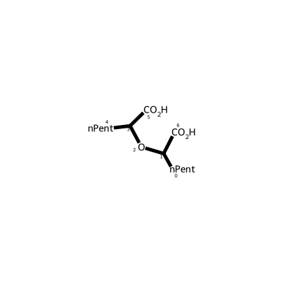 CCCCCC(OC(CCCCC)C(=O)O)C(=O)O